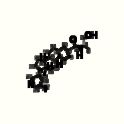 CC(CO)NC(=O)c1ccc2c(c1)CC[C@@H]1[C@@H]2CC[C@]2(C)C(c3cncc(F)c3)=CC[C@@H]12